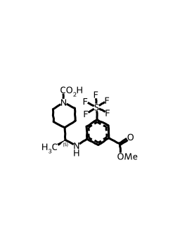 COC(=O)c1cc(N[C@@H](C)C2CCN(C(=O)O)CC2)cc(S(F)(F)(F)(F)F)c1